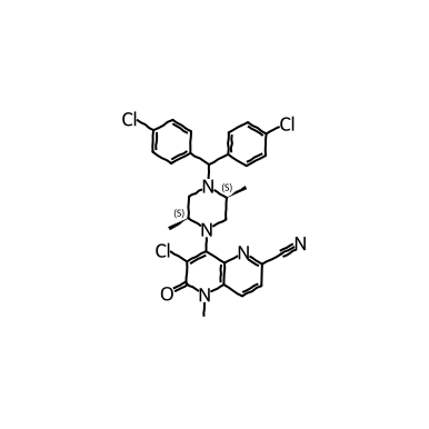 C[C@H]1CN(C(c2ccc(Cl)cc2)c2ccc(Cl)cc2)[C@@H](C)CN1c1c(Cl)c(=O)n(C)c2ccc(C#N)nc12